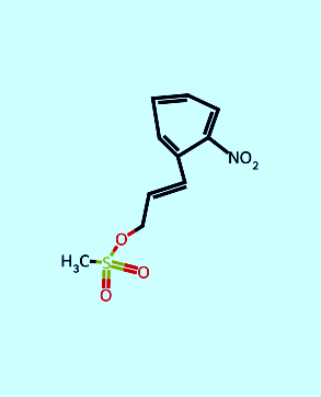 CS(=O)(=O)OCC=Cc1ccccc1[N+](=O)[O-]